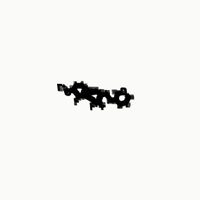 CCOc1ccc2c(c1F)-c1c-2cc(CCC2CCCOC2)c(F)c1F